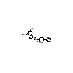 C=C(/C=C\C(C)NCC1C=CN2C(C)=CC(C(F)(F)F)=NC12)c1cocn1